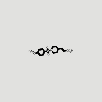 O=C(O)C=CC1CCN(S(=O)(=O)c2ccc(OC(F)(F)F)cc2)CC1